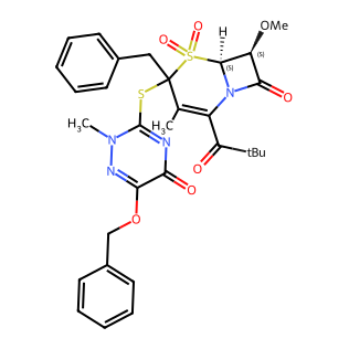 CO[C@H]1C(=O)N2C(C(=O)C(C)(C)C)=C(C)C(Cc3ccccc3)(Sc3nc(=O)c(OCc4ccccc4)nn3C)S(=O)(=O)[C@@H]12